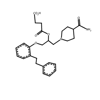 NC(=O)C1CCN(CC(COc2ccccc2CCc2ccccc2)OC(=O)CCC(=O)O)CC1